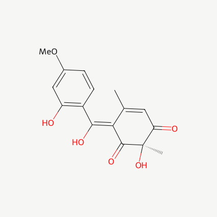 COc1ccc(/C(O)=C2/C(=O)[C@](C)(O)C(=O)C=C2C)c(O)c1